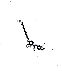 N#C/C(=C\c1ccc2c(c1)OCC2)c1ccc(OCCCCCCCCCCCO)c(CO)c1